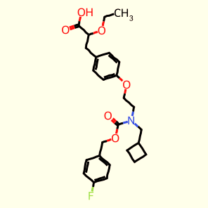 CCOC(Cc1ccc(OCCN(CC2CCC2)C(=O)OCc2ccc(F)cc2)cc1)C(=O)O